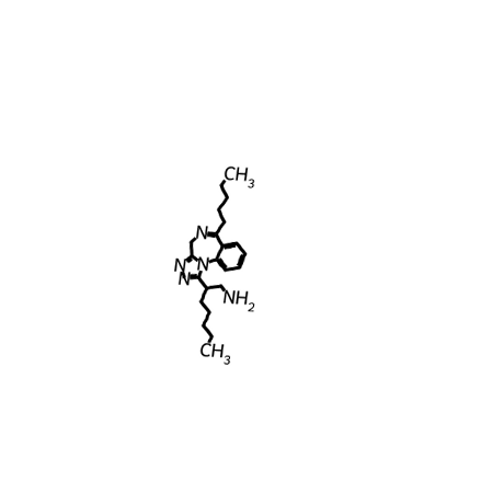 CCCCCC1=NCc2nnc(C(CN)CCCCC)n2-c2ccccc21